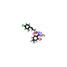 CCCC(NOCC=Cc1ccc(F)cc1F)=C1C(=O)CC(C)(C)CC1=O